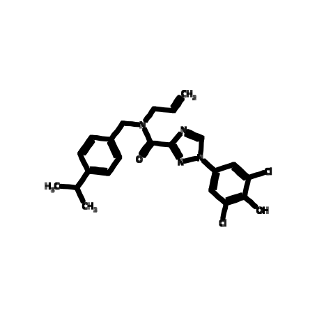 C=CCN(Cc1ccc(C(C)C)cc1)C(=O)c1ncn(-c2cc(Cl)c(O)c(Cl)c2)n1